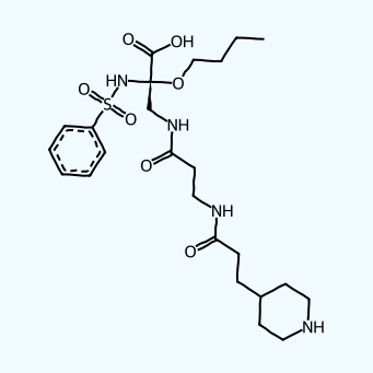 CCCCO[C@](CNC(=O)CCNC(=O)CCC1CCNCC1)(NS(=O)(=O)c1ccccc1)C(=O)O